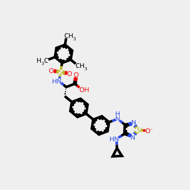 Cc1cc(C)c(S(=O)(=O)N[C@@H](Cc2ccc(-c3cccc(Nc4n[s+]([O-])nc4NC4CC4)c3)cc2)C(=O)O)c(C)c1